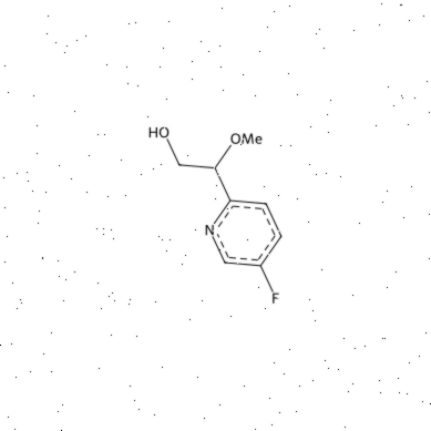 COC(CO)c1ccc(F)cn1